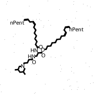 CCCCC/C=C\C/C=C\CCCCCCCCOC(=O)C(CNC(=O)CCCN1CC(C)CC(C)C1)NC(=O)CCCCCCC/C=C\C/C=C\CCCCC